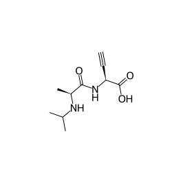 C#C[C@H](NC(=O)[C@H](C)NC(C)C)C(=O)O